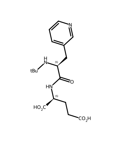 CC(C)(C)N[C@@H](Cc1cccnc1)C(=O)N[C@@H](CCC(=O)O)C(=O)O